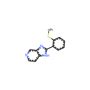 CCCSc1ccccc1-c1nc2cnccc2[nH]1